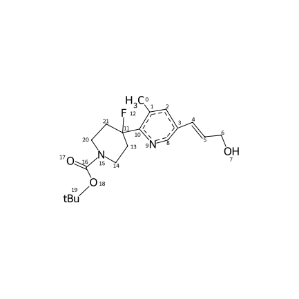 Cc1cc(C=CCO)cnc1C1(F)CCN(C(=O)OC(C)(C)C)CC1